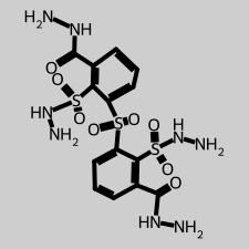 NNC(=O)c1cccc(S(=O)(=O)c2cccc(C(=O)NN)c2S(=O)(=O)NN)c1S(=O)(=O)NN